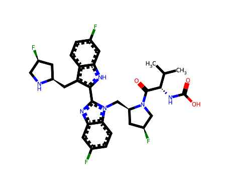 CC(C)[C@H](NC(=O)O)C(=O)N1C[C@@H](F)C[C@H]1Cn1c(-c2[nH]c3cc(F)ccc3c2C[C@@H]2C[C@H](F)CN2)nc2cc(F)ccc21